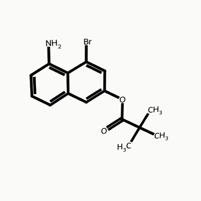 CC(C)(C)C(=O)Oc1cc(Br)c2c(N)cccc2c1